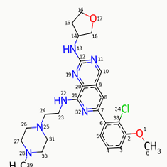 COc1cccc(-c2cc3cnc(NC4CCOC4)nc3c(NCCN3CCN(C)CC3)n2)c1Cl